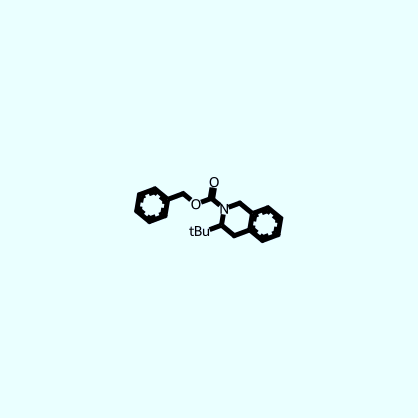 CC(C)(C)C1Cc2ccccc2CN1C(=O)OCc1ccccc1